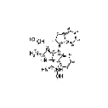 Cl.Cl.N=C(NO)C1(c2ccccc2)N=C(N)N=C1N=C1CCc2ccccc21